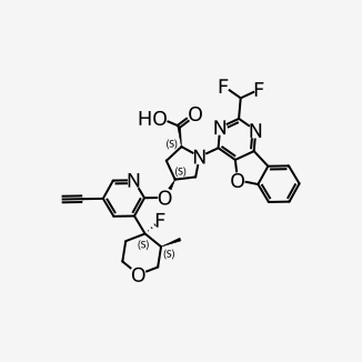 C#Cc1cnc(O[C@H]2C[C@@H](C(=O)O)N(c3nc(C(F)F)nc4c3oc3ccccc34)C2)c([C@]2(F)CCOC[C@@H]2C)c1